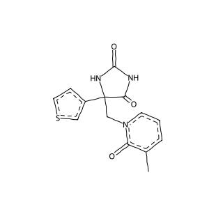 Cc1cccn(CC2(c3ccsc3)NC(=O)NC2=O)c1=O